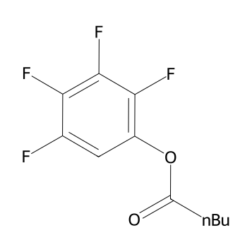 CCCCC(=O)Oc1cc(F)c(F)c(F)c1F